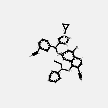 CC[C@@H](Nc1c(C#N)cnc2c(Cl)cc(NC(c3cccc(C#N)c3)c3cn(C4CC4)nn3)cc12)c1ccccc1